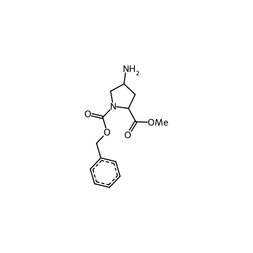 COC(=O)C1CC(N)CN1C(=O)OCc1ccccc1